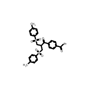 Cc1ccc(S(=O)(=O)CC(CS(=O)(=O)c2ccc(C)cc2)C(=O)c2ccc(C(=O)C(C)C)cc2)cc1